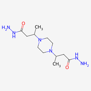 CC(CC(=O)NN)N1CCN(C(C)CC(=O)NN)CC1